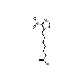 O=C(O)CCCCCCn1ccnc1[N+](=O)[O-]